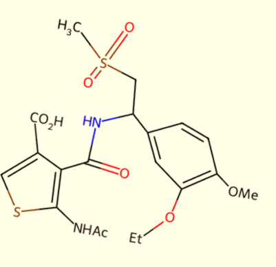 CCOc1cc(C(CS(C)(=O)=O)NC(=O)c2c(C(=O)O)csc2NC(C)=O)ccc1OC